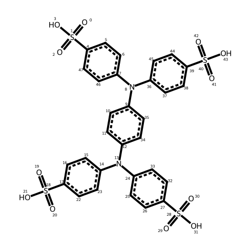 O=S(=O)(O)c1ccc(N(c2ccc(N(c3ccc(S(=O)(=O)O)cc3)c3ccc(S(=O)(=O)O)cc3)cc2)c2ccc(S(=O)(=O)O)cc2)cc1